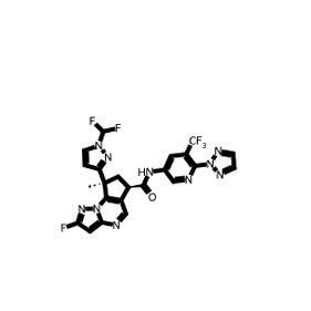 C[C@]1(c2ccn(C(F)F)n2)C[C@@H](C(=O)Nc2cnc(-n3nccn3)c(C(F)(F)F)c2)c2cnc3cc(F)nn3c21